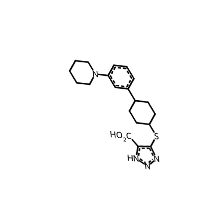 O=C(O)c1[nH]nnc1SC1CCC(c2cccc(N3CCCCC3)c2)CC1